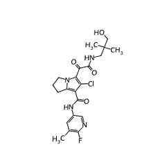 Cc1cc(NC(=O)c2c(Cl)c(C(=O)C(=O)NCC(C)(C)CO)n3c2CCC3)cnc1F